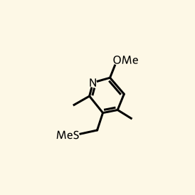 COc1cc(C)c(CSC)c(C)n1